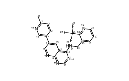 Cc1ccc(-c2cnc3ncnc(NCc4cccnc4C(F)(F)F)c3c2)cn1